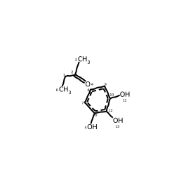 CCC(C)=O.Oc1cccc(O)c1O